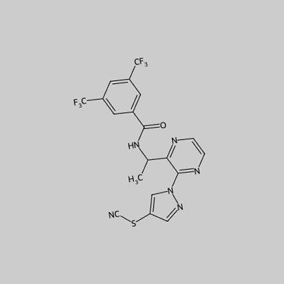 CC(NC(=O)c1cc(C(F)(F)F)cc(C(F)(F)F)c1)c1nccnc1-n1cc(SC#N)cn1